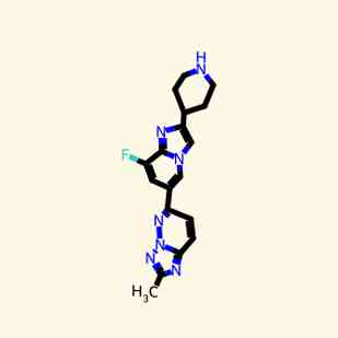 Cc1nc2ccc(-c3cc(F)c4nc(C5CCNCC5)cn4c3)nn2n1